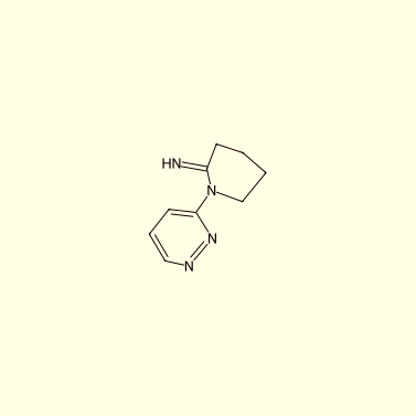 N=C1CCCCN1c1cccnn1